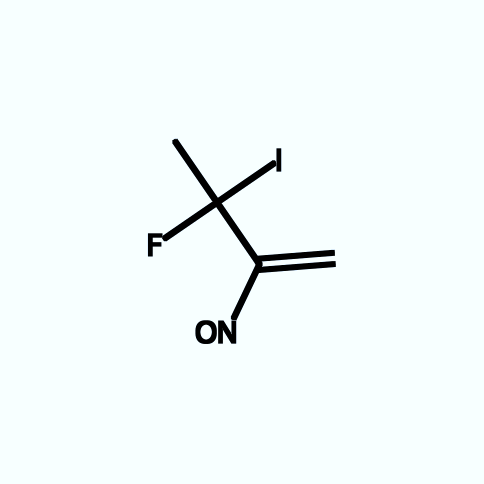 C=C(N=O)C(C)(F)I